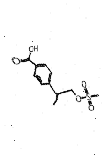 CC(COS(C)(=O)=O)c1ccc(C(=O)O)cc1